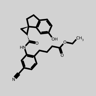 CCOC(=O)CCCc1ccc(C#N)cc1NC(=O)[C@@H]1C[C@]12CCc1ccc(O)cc12